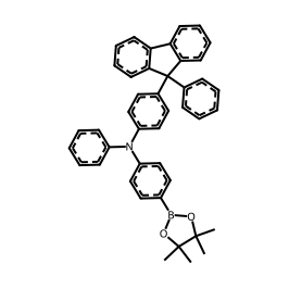 CC1(C)OB(c2ccc(N(c3ccccc3)c3ccc(C4(c5ccccc5)c5ccccc5-c5ccccc54)cc3)cc2)OC1(C)C